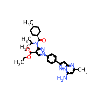 CCOC(=O)c1cn(-c2ccc(-c3cc4nc(C)cc(N)n4n3)cc2)nc1N(C(=O)[C@H]1CC[C@H](C)CC1)C(C)C